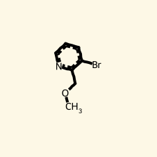 COCc1ncccc1Br